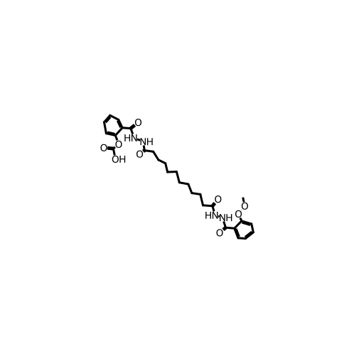 COOc1ccccc1C(=O)NNC(=O)CCCCCCCCCCC(=O)NNC(=O)c1ccccc1OC(=O)O